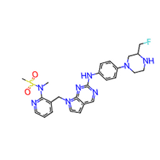 CN(c1ncccc1Cn1ccc2cnc(Nc3ccc(N4CCNC(CF)C4)cc3)nc21)S(C)(=O)=O